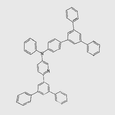 c1ccc(-c2cc(-c3ccccc3)cc(-c3ccc(N(c4ccccc4)c4ccc(-c5cc(-c6ccccc6)cc(-c6ccccc6)c5)nc4)cc3)c2)cc1